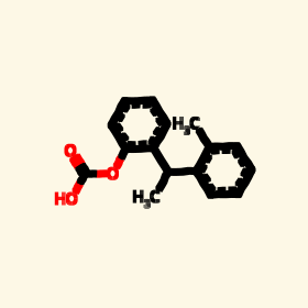 Cc1ccccc1C(C)c1ccccc1OC(=O)O